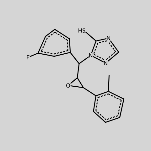 Cc1ccccc1C1OC1C(c1cccc(F)c1)n1ncnc1S